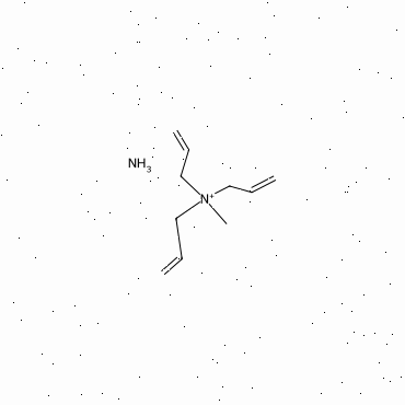 C=CC[N+](C)(CC=C)CC=C.N